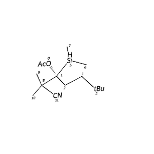 CC(=O)O[C@@](CCC(C)(C)C)([SiH](C)C)C(C)(C)C#N